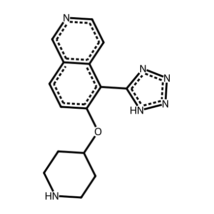 c1cc2c(-c3nnn[nH]3)c(OC3CCNCC3)ccc2cn1